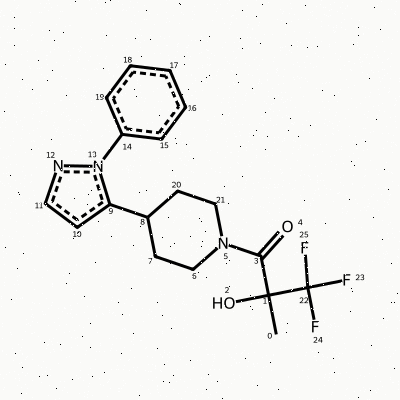 CC(O)(C(=O)N1CCC(c2ccnn2-c2ccccc2)CC1)C(F)(F)F